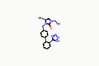 CC(C)Cn1cc(C(C)(C)C)n(Cc2ccc(-c3ccccc3-c3nnn[nH]3)cc2)c1=O